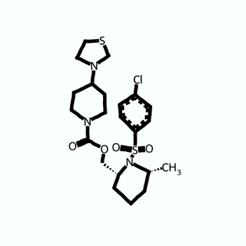 C[C@@H]1CCC[C@H](COC(=O)N2CCC(N3CCSC3)CC2)N1S(=O)(=O)c1ccc(Cl)cc1